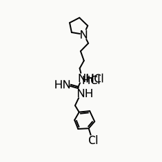 Cl.Cl.N=C(NCCCCN1CCCC1)NCc1ccc(Cl)cc1